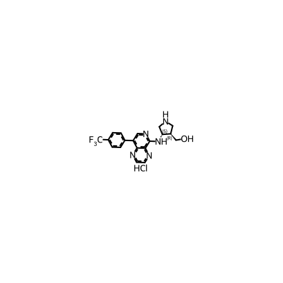 Cl.OC[C@@H]1CNC[C@H]1Nc1ncc(-c2ccc(C(F)(F)F)cc2)c2nccnc12